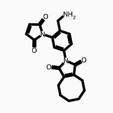 NCc1ccc(N2C(=O)C3=C(CCCCCC3)C2=O)cc1N1C(=O)C=CC1=O